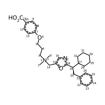 C[N+](C)(CCCOc1ccc(C(=O)O)cc1)Cc1cnc([C@H](Cc2ccccc2)C2CCCCC2)o1